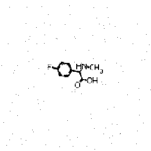 CN[C@@H](C(=O)O)c1ccc(F)cc1